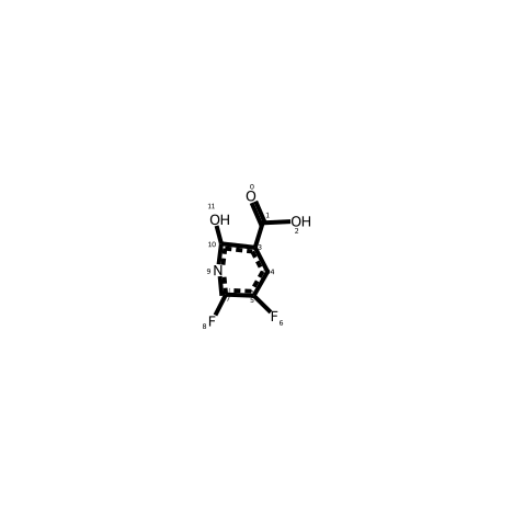 O=C(O)c1cc(F)c(F)nc1O